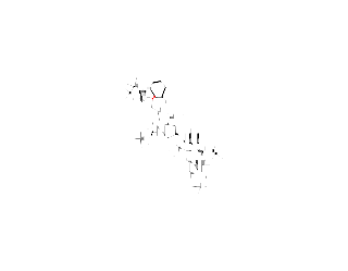 CC(C)(C)OC(=O)NC[C@H](NC(=O)OC(C)(C)C)C(=O)N[C@H]1CN(C(=O)OC(C)(C)C)[C@@](CCCCB2OC(C)(C)C(C)(C)O2)(C(=O)OCc2ccccc2)C1